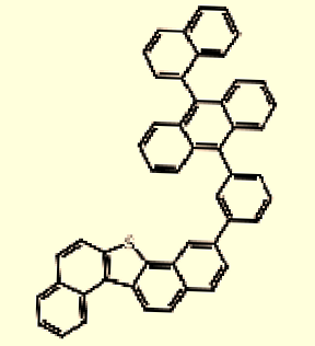 c1cc(-c2ccc3ccc4c(sc5ccc6ccccc6c54)c3c2)cc(-c2c3ccccc3c(-c3cccc4ccccc34)c3ccccc23)c1